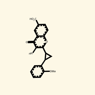 CCCc1c(C2CC2c2ccccc2OC)oc2ccc(C(=O)O)cc2c1=O